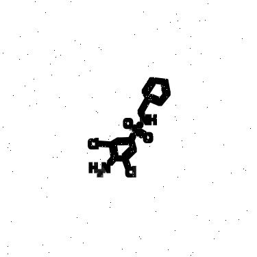 Nc1c(Cl)cc(S(=O)(=O)NCc2ccccc2)cc1Cl